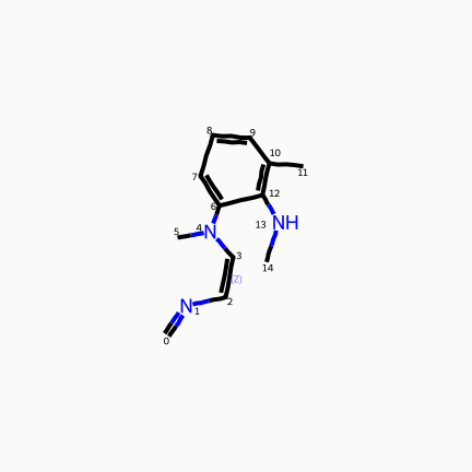 C=N/C=C\N(C)c1cccc(C)c1NC